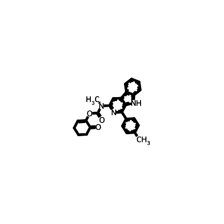 Cc1ccc(-c2nc(N(C)C(=O)OC3=CCCCC3=O)cc3c2[nH]c2ccccc23)cc1